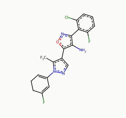 Nc1c(-c2c(F)cccc2Cl)noc1-c1cnn(C2=CCCC(F)=C2)c1C(F)(F)F